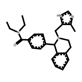 CCN(CC)C(=O)c1ccc(C2c3cc[c]cc3CCN2Cc2[nH]cnc2C)cc1